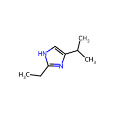 CCc1nc(C(C)C)c[nH]1